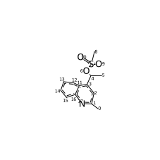 Cc1cc(C(C)OS(C)(=O)=O)c2ccccc2n1